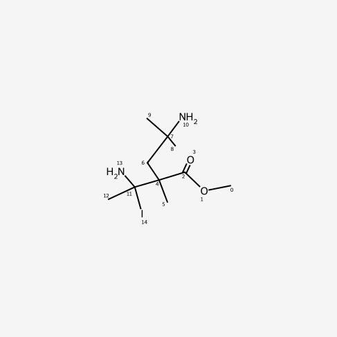 COC(=O)C(C)(CC(C)(C)N)C(C)(N)I